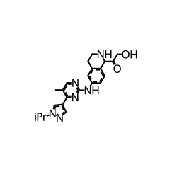 Cc1cnc(Nc2ccc3c(c2)CCNC3C(=O)CO)nc1-c1cnn(C(C)C)c1